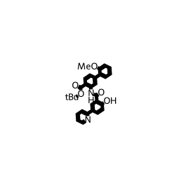 COc1ccccc1-c1ccc(C(=O)OC(C)(C)C)c(NC(=O)c2cc(-c3ccccn3)ccc2O)c1